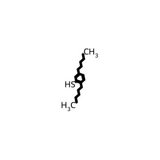 CCCCCCc1ccc(CCCCCC)c(S)c1